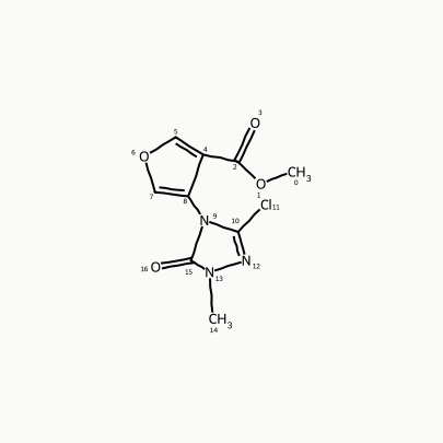 COC(=O)c1cocc1-n1c(Cl)nn(C)c1=O